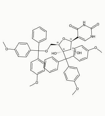 COc1ccc(C(OC[C@H]2O[C@@H](c3c[nH]c(=O)[nH]c3=O)[C@H](O)[C@@]2(O)C(c2ccccc2)(c2ccc(OC)cc2)c2ccc(OC)cc2)(c2ccccc2)c2ccc(OC)cc2)cc1